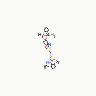 CC(C)c1cccc(C(C)C)c1NC(=O)CCCCCSc1nc2cc(OC[Si](C)(C)c3ccccc3)ccc2o1